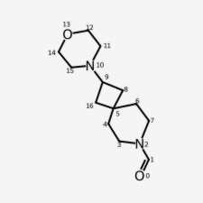 O=CN1CCC2(CC1)CC(N1CCOCC1)C2